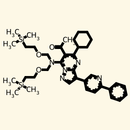 CC(=O)c1c(C2CCCCC2)nc2c(-c3ccc(-c4ccccc4)nc3)cnn2c1N(COCC[Si](C)(C)C)COCC[Si](C)(C)C